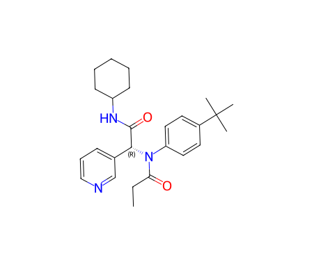 CCC(=O)N(c1ccc(C(C)(C)C)cc1)[C@@H](C(=O)NC1CCCCC1)c1cccnc1